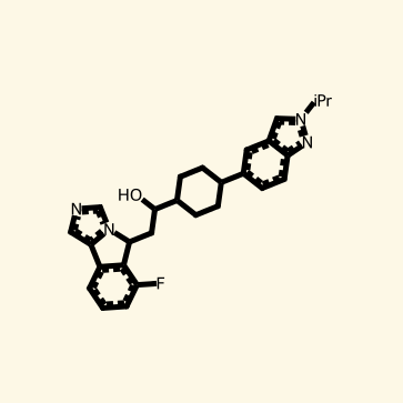 CC(C)n1cc2cc(C3CCC(C(O)CC4c5c(F)cccc5-c5cncn54)CC3)ccc2n1